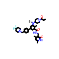 C=CC(=O)N1CCC(N(CC)c2cc(-c3ccc(CN4CCC(F)(F)CC4)cc3)cc(C(=O)NCc3c(C)cc(C)[nH]c3=O)c2C)CC1